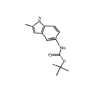 Cc1cc2cc(NC(=O)OC(C)(C)C)ccc2[nH]1